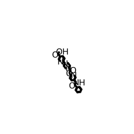 O=C(O)c1ccc(N2CCN(C(=O)Oc3ccc(NC(=O)c4ccccc4)cn3)CC2)nc1